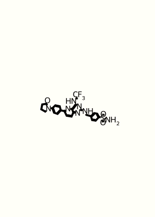 NS(=O)(=O)c1ccc(CNc2nc(NCC(F)(F)F)c3nc(-c4ccc(N5CCCC5=O)cc4)ccc3n2)cc1